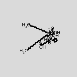 CCCCCCCCCCCCCCCCCC(=O)N(CCCCCCCCCCCCCC)[C@@H]1O[C@H](CO)[C@@H](O)[C@H](O)[C@H]1NC(=O)[C@H](Cc1ccccc1)NC(=O)CCCCC(=O)O